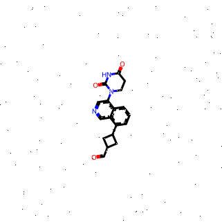 O=CC1CC(c2cccc3c(N4CCC(=O)NC4=O)cncc23)C1